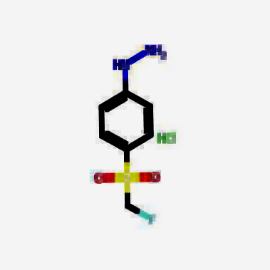 Cl.NNc1ccc(S(=O)(=O)CF)cc1